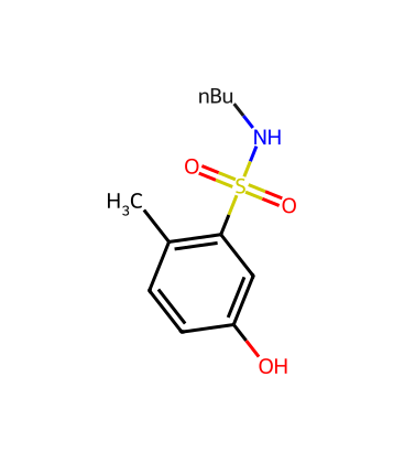 CCCCNS(=O)(=O)c1cc(O)ccc1C